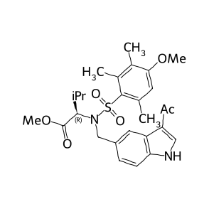 COC(=O)[C@@H](C(C)C)N(Cc1ccc2[nH]cc(C(C)=O)c2c1)S(=O)(=O)c1c(C)cc(OC)c(C)c1C